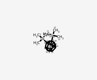 C[Si](C)(C)[C]12[CH]3[CH]4[CH]5[C]1([Si](C)(C)C)[Fe]43521678[CH]2[CH]1[CH]6[CH]7[CH]28